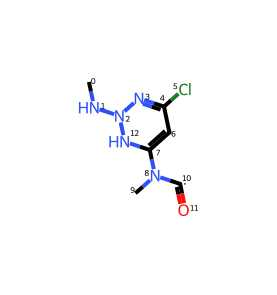 CNN1N=C(Cl)C=C(N(C)[C]=O)N1